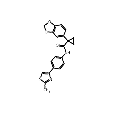 Cc1nc(-c2ccc(NC(=O)C3(c4ccc5c(c4)OCO5)CC3)cc2)cs1